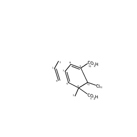 C=CC.CC1(C(=O)O)C=CC=C(C(=O)O)C1Cl